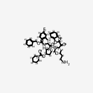 NCCCC[C@H](NC(=O)[C@@H]1C[C@@H](OC(=O)N2CCCCC2)CN1C(=O)[C@@H](Cc1cccc(F)c1)NC(=O)OCc1ccccc1)C(=O)c1nc2ccccc2o1